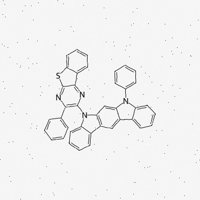 c1ccc(-c2nc3sc4ccccc4c3nc2-n2c3ccccc3c3cc4c5ccccc5n(-c5ccccc5)c4cc32)cc1